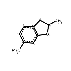 COc1ccc2c(c1)OC(C)C2